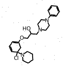 OC(COC1=CC=CC(Cl)(N2CCCCC2)C1)CN1CCN(c2ccccc2)CC1